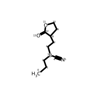 CCCB(C#N)CCC1CCOC1=O